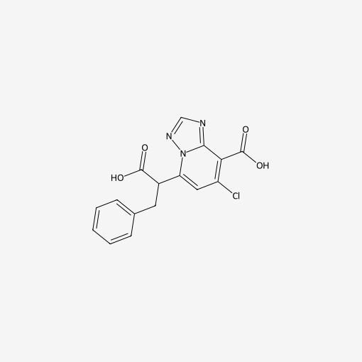 O=C(O)c1c(Cl)cc(C(Cc2ccccc2)C(=O)O)n2ncnc12